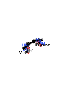 COC(=O)N[C@H](C(=O)N1CC2(CC2)C[C@H]1c1nc(-c2ccc(C#Cc3ccc4[nH]c([C@@H]5CC6(CC6)CN5C(=O)[C@@H](NC(=O)OC)C(C)C)nc4c3)cc2)c[nH]1)C(C)C